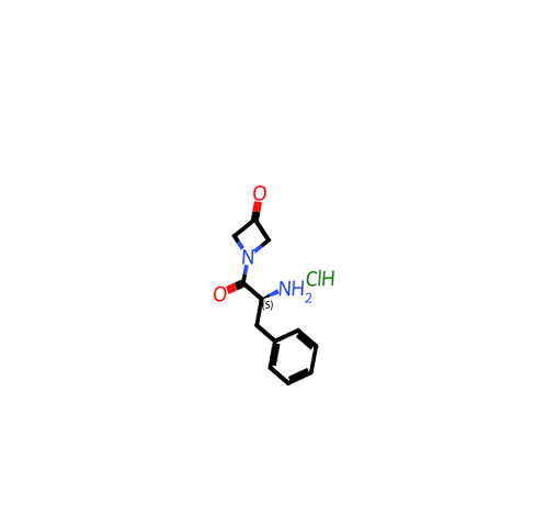 Cl.N[C@@H](Cc1ccccc1)C(=O)N1CC(=O)C1